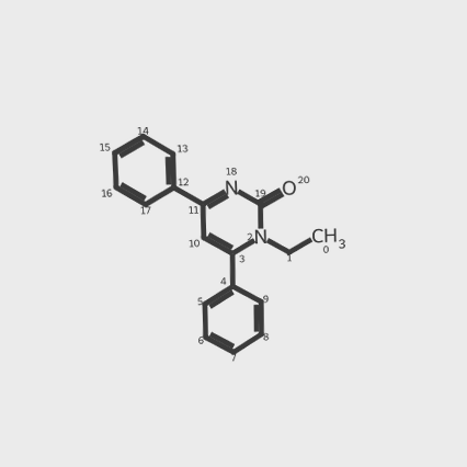 CCn1c(-c2ccccc2)cc(-c2ccccc2)nc1=O